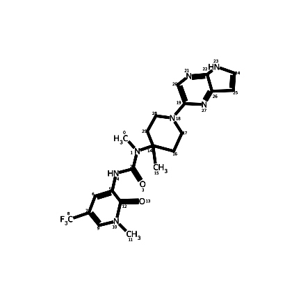 CN(C(=O)Nc1cc(C(F)(F)F)cn(C)c1=O)C1(C)CCN(c2cnc3[nH]ccc3n2)CC1